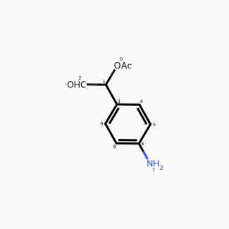 CC(=O)OC([C]=O)c1ccc(N)cc1